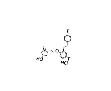 CN1C[C@H](O)C[C@H]1CCOc1ccc(F)cc1CCc1ccc(F)cc1.Cl